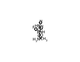 CC1(CN)COC(c2nc(-c3ccc(F)cc3)c(-c3ccnc(Nc4ccncc4)n3)[nH]2)OC1